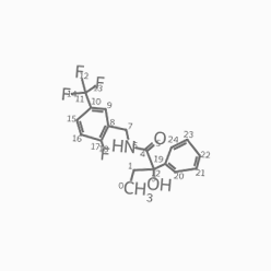 CCC(O)(C(=O)NCc1cc(C(F)(F)F)ccc1F)c1ccccc1